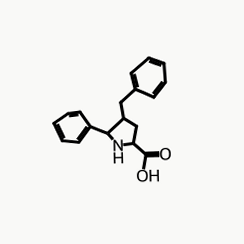 O=C(O)C1CC(Cc2ccccc2)C(c2ccccc2)N1